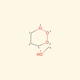 C1COOOC1.CO